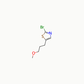 COCCCc1cnc(Br)s1